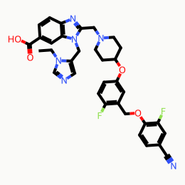 CCn1cncc1Cn1c(CN2CCC(Oc3ccc(F)c(COc4ccc(C#N)cc4F)c3)CC2)nc2ccc(C(=O)O)cc21